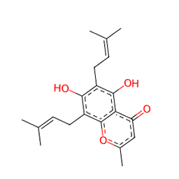 CC(C)=CCc1c(O)c(CC=C(C)C)c2oc(C)cc(=O)c2c1O